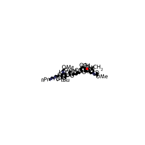 C=C[C@H]1C/C(=C\C(=O)OC)C[C@@H](C[C@]2(O)O[C@H](C[C@@H](O)CC(=O)O[C@H](C[C@@H]3C/C(=C\C(=O)OC)[C@H](OC(=O)/C=C/C=C/CCC)[C@](O)(C(C)(C)C)O3)[C@@H](C)O)C[C@H](OC(C)=O)C2(C)C)O1